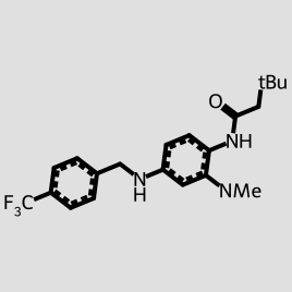 CNc1cc(NCc2ccc(C(F)(F)F)cc2)ccc1NC(=O)CC(C)(C)C